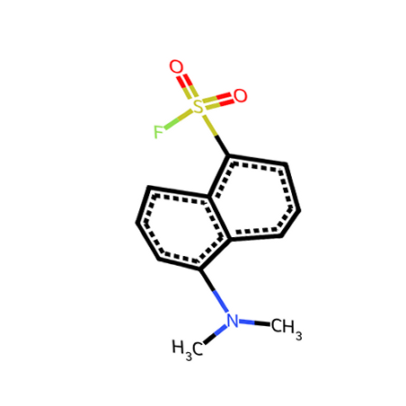 CN(C)c1cccc2c(S(=O)(=O)F)cccc12